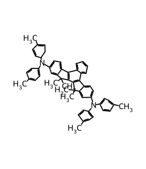 CC1=CCC(N(c2ccc(C)cc2)c2ccc3c(c2)C(C)(C)c2c4c(c5ccccc5c2-3)-c2ccc(N(c3ccc(C)cc3)c3ccc(C)cc3)cc2C4(C)C)C=C1